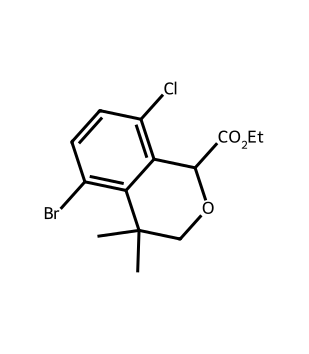 CCOC(=O)C1OCC(C)(C)c2c(Br)ccc(Cl)c21